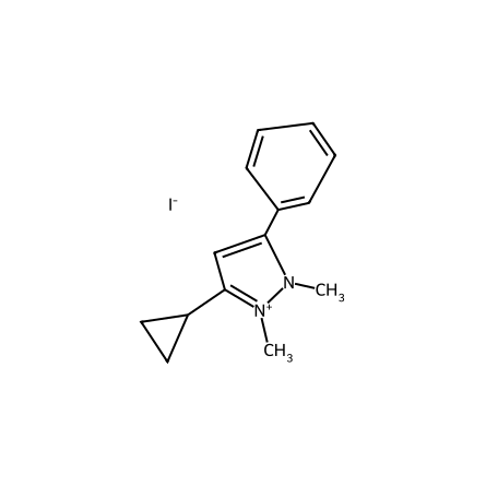 Cn1c(-c2ccccc2)cc(C2CC2)[n+]1C.[I-]